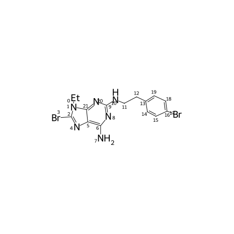 CCn1c(Br)nc2c(N)nc(NCCc3ccc(Br)cc3)nc21